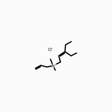 C=CC[N+](C)(C)CC=C(CC)CC.[Cl-]